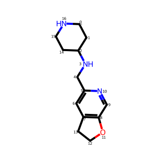 [CH]1CC(NCc2cc3c(cn2)OCC3)CCN1